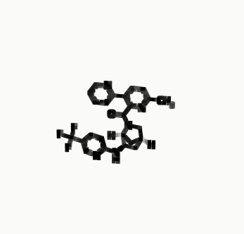 Cc1ccc(-c2ccccn2)c(C(=O)N2C[C@H]3C[C@@H](Nc4ccc(C(F)(F)F)cn4)[C@@H]2C3)n1